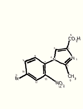 Cc1nc(C(=O)O)cn1-c1ccc(Br)cc1[N+](=O)[O-]